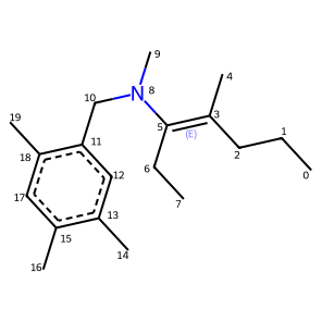 CCC/C(C)=C(\CC)N(C)Cc1cc(C)c(C)cc1C